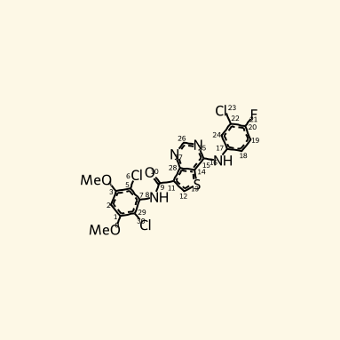 COc1cc(OC)c(Cl)c(NC(=O)c2csc3c(Nc4ccc(F)c(Cl)c4)ncnc23)c1Cl